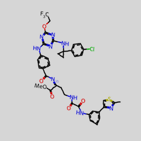 COC(=O)/C(CCNC(=O)C(=O)Nc1cccc(-c2csc(C)n2)c1)=N\C(=O)c1ccc(Nc2nc(NC3(c4ccc(Cl)cc4)CC3)nc(OCC(F)(F)F)n2)cc1